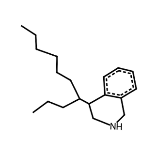 CCCCCCC(CCC)C1CNCc2ccccc21